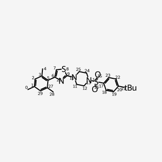 Cc1cc(C)c(-c2csc(N3CCN(S(=O)(=O)c4ccc(C(C)(C)C)cc4)CC3)n2)c(C)c1